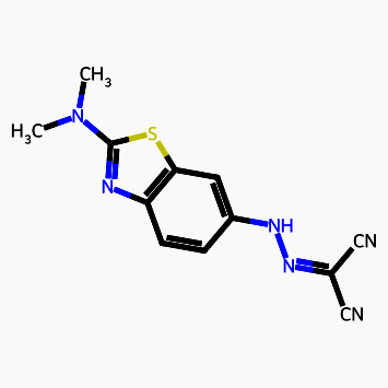 CN(C)c1nc2ccc(NN=C(C#N)C#N)cc2s1